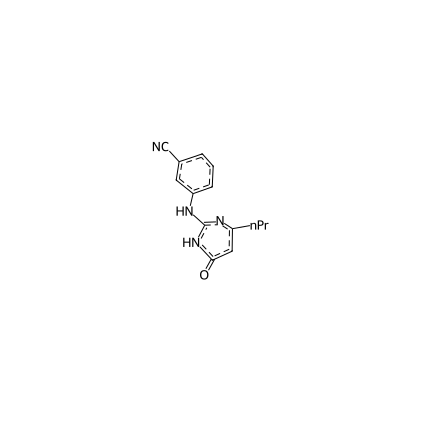 CCCc1cc(=O)[nH]c(Nc2cccc(C#N)c2)n1